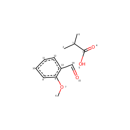 CC(C)C(=O)O.COc1ccccc1C=O